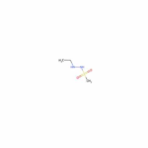 CCNNS(C)(=O)=O